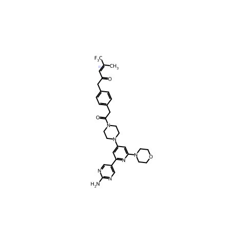 C/C(=C\C(=O)Cc1ccc(CC(=O)N2CCN(c3cc(-c4cnc(N)nc4)nc(N4CCOCC4)c3)CC2)cc1)C(F)(F)F